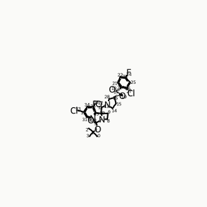 CC(C)(C)OC(=O)N1CCC1(C(=O)N1CCC(S(=O)(=O)c2ccc(F)cc2Cl)C1)c1ncc(Cl)cc1F